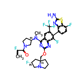 C=C(F)C(=O)N1CC[C@@H](N(C)c2nc(OC[C@@]34CCCN3C[C@H](F)C4)nc3c(F)c(-c4ccc(F)c5sc(N)nc45)c(C(F)(F)F)cc23)C1